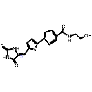 O=C1NC(=S)N/C1=C\c1ccc(-c2ccc(C(=O)NCCO)cc2)s1